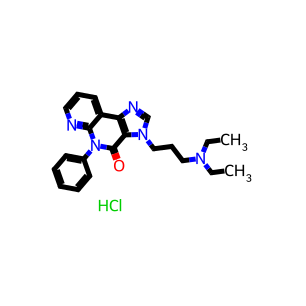 CCN(CC)CCCn1cnc2c3cccnc3n(-c3ccccc3)c(=O)c21.Cl